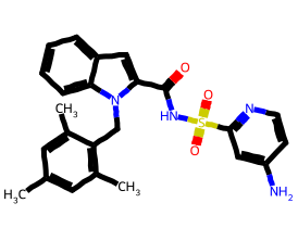 Cc1cc(C)c(Cn2c(C(=O)NS(=O)(=O)c3cc(N)ccn3)cc3ccccc32)c(C)c1